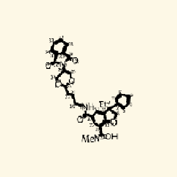 CC[C@@]1(c2ccccc2)COc2c(C(O)NC)cc(C(=O)NCCCC3OCC(N4C(=O)c5ccccc5C4=O)CO3)cc21